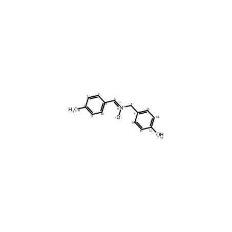 Cc1ccc(/C=[N+](\[O-])Cc2ccc(O)cc2)cc1